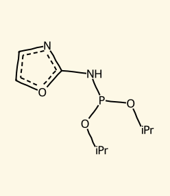 CC(C)OP(Nc1ncco1)OC(C)C